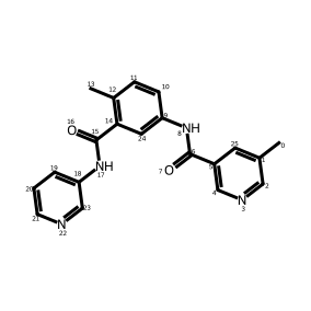 Cc1cncc(C(=O)Nc2ccc(C)c(C(=O)Nc3cccnc3)c2)c1